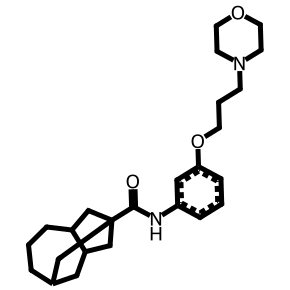 O=C(Nc1cccc(OCCCN2CCOCC2)c1)C12CC3CCCC(C1)C(C3)C2